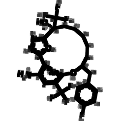 Nc1cc(C(F)(F)F)c2nc1-c1nnc(o1)[C@@](O)(C(F)(F)F)CCCCCC(Cc1ccc(F)cc1)O2